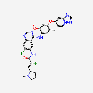 COc1cc(Oc2ccn3ncnc3c2)c(C)cc1Nc1ncnc2cc(F)c(NC(=O)C(F)=CC3CCCN3C)cc12